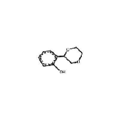 Oc1ccccc1C1COCCO1